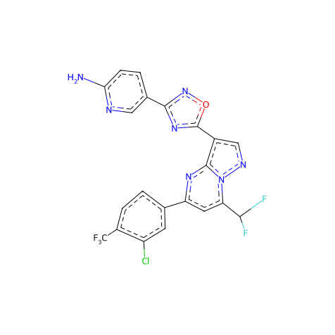 Nc1ccc(-c2noc(-c3cnn4c(C(F)F)cc(-c5ccc(C(F)(F)F)c(Cl)c5)nc34)n2)cn1